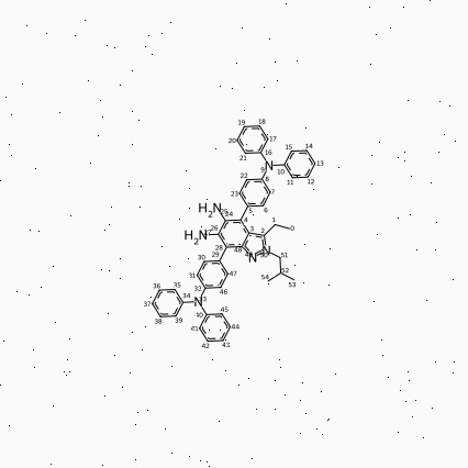 CCc1c2c(-c3ccc(N(c4ccccc4)c4ccccc4)cc3)c(N)c(N)c(-c3ccc(N(c4ccccc4)c4ccccc4)cc3)c2nn1CC(C)C